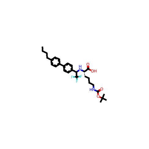 CCCCc1ccc(-c2ccc(C(N[C@@H](CCCCNC(=O)OC(C)(C)C)C(=O)O)C(F)(F)F)cc2)cc1